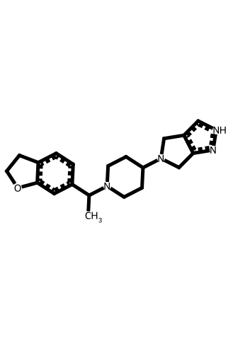 CC(c1ccc2c(c1)OCC2)N1CCC(N2Cc3c[nH]nc3C2)CC1